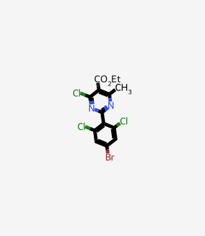 CCOC(=O)c1c(C)nc(-c2c(Cl)cc(Br)cc2Cl)nc1Cl